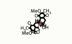 COC1=C(C)C(=O)C2=C(C1=O)[C@@H]1[C@@H]3CC4=C(C(=O)C(OC)=C(C)C4=O)[C@H](COC(C)=O)N3[C@@H](O)[C@H](C2)N1C